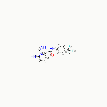 N=Cn1c(CC(=O)Nc2ccc(C(F)(F)F)cc2)cccc1=N